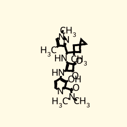 Cc1cn(C)nc1C(Nc1c(Nc2ccnc(C(=O)N(C)C)c2O)c(=O)c1=O)C1(C)CC2(CC2)C1